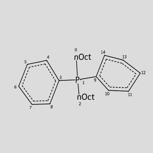 CCCCCCCC[P](CCCCCCCC)(c1ccccc1)c1ccccc1